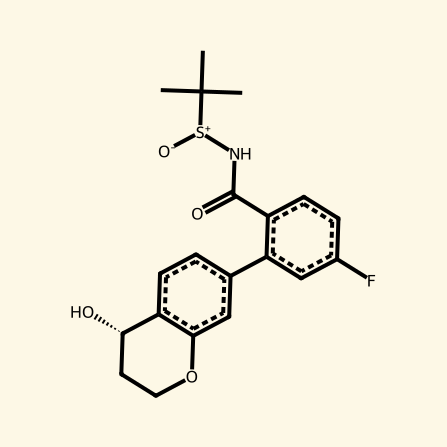 CC(C)(C)[S+]([O-])NC(=O)c1ccc(F)cc1-c1ccc2c(c1)OCC[C@@H]2O